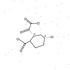 O=C(Cl)C(=O)[C@@H]1C[C@H](Cl)CCC1C(=O)Cl